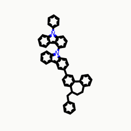 c1ccc(CC2CCc3ccccc3-c3cc(-c4ccc5c(c4)c4ccccc4n5-c4cccc5c4c4ccccc4n5-c4ccccc4)ccc32)cc1